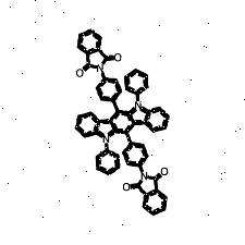 O=C1c2ccccc2C(=O)N1c1ccc(-c2c3c4ccccc4n(-c4ccccc4)c3c(-c3ccc(N4C(=O)c5ccccc5C4=O)cc3)c3c4ccccc4n(-c4ccccc4)c23)cc1